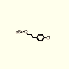 [CH2]CCCOCCCc1ccc(Cl)cc1